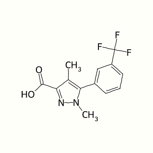 Cc1c(C(=O)O)nn(C)c1-c1cccc(C(F)(F)F)c1